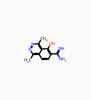 Cc1nnc(C)c2c(O)c(C(=N)N)ccc12